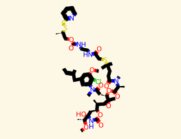 C/C=C(\C)Cc1cc(OC)c(Cl)c(N(C)C(=O)C[C@H](OC(=O)[C@H](C)N(C)C(=O)CCC(C)(C)SCC(=O)NCCNC(=O)OC[C@H](C)SSc2ccccn2)C2(C)O[C@H]2[C@H](C)[C@@H]2C[C@](O)([C@@H](C)OC)NC(=O)O2)c1